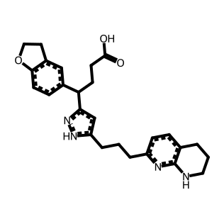 O=C(O)CCC(c1ccc2c(c1)CCO2)c1cc(CCCc2ccc3c(n2)NCCC3)[nH]n1